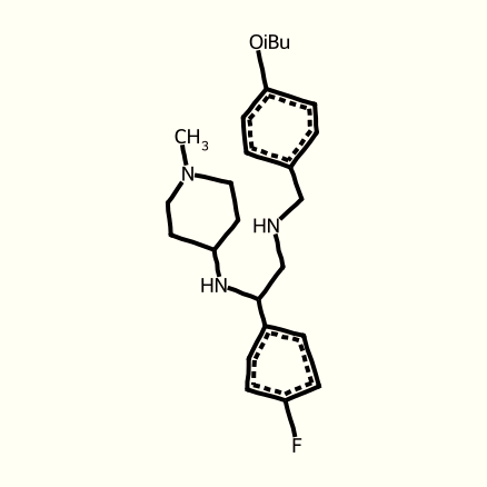 CC(C)COc1ccc(CNCC(NC2CCN(C)CC2)c2ccc(F)cc2)cc1